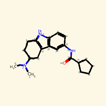 CN(C)C1CCc2[nH]c3ccc(NC(=O)C4CCCC4)cc3c2C1